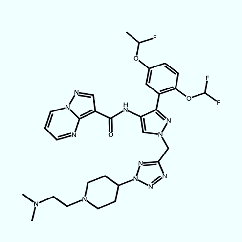 CC(F)Oc1ccc(OC(F)F)c(-c2nn(Cc3nnn(C4CCN(CCN(C)C)CC4)n3)cc2NC(=O)c2cnn3cccnc23)c1